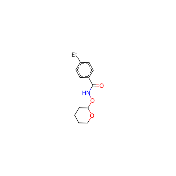 CCc1ccc(C(=O)NOC2CCCCO2)cc1